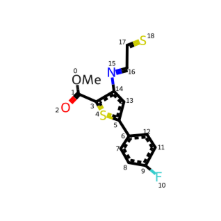 COC(=O)c1sc(-c2ccc(F)cc2)cc1N=CC=S